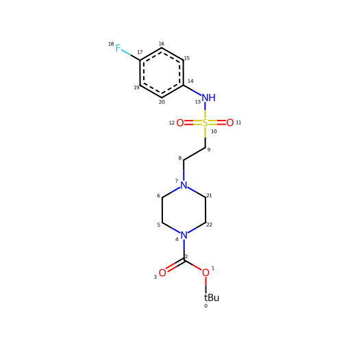 CC(C)(C)OC(=O)N1CCN(CCS(=O)(=O)Nc2ccc(F)cc2)CC1